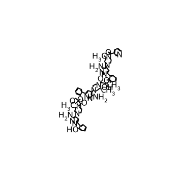 CC1CN(c2cc(-c3ccccc3OC(C)(O)C(=O)N3CCN(c4cc(-c5ccccc5OC5(C(=O)N6CCN(c7cc(-c8ccccc8O)nnc7N)CC6C)COC5)nnc4N)CC3C)nnc2N)CCN1C(=O)c1cccnc1